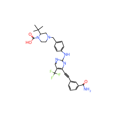 CC(C)(C)C1CN(Cc2ccc(Nc3ncc(C(F)(F)F)c(C#Cc4cccc(C(N)=O)c4)n3)cc2)CCN1C(=O)O